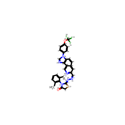 Cc1cccc(C)c1N1C(=O)CS/C1=N\N=C/c1cc2ccc3c(ncn3-c3ccc(OC(F)(F)F)cc3)c2cn1